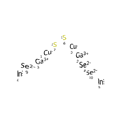 [Cu].[Cu].[Ga+3].[Ga+3].[In].[In].[S].[S].[Se-2].[Se-2].[Se-2]